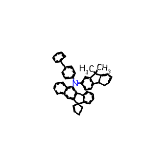 CC1(C)C2=CC=CCC2c2ccc(N(c3ccc(-c4ccccc4)cc3)c3c4c(cc5ccccc35)C3(CCCC3)c3ccccc3-4)cc21